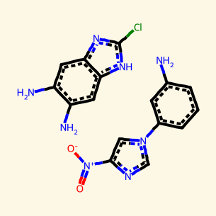 Nc1cc2nc(Cl)[nH]c2cc1N.Nc1cccc(-n2cnc([N+](=O)[O-])c2)c1